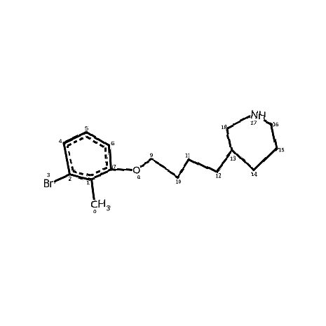 Cc1c(Br)cccc1OCCCCC1CCCNC1